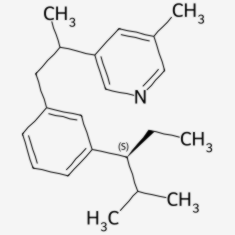 CC[C@H](c1cccc(CC(C)c2cncc(C)c2)c1)C(C)C